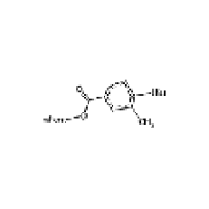 CCCCCOC(=O)c1ccc(C(C)(C)C)c(C)c1